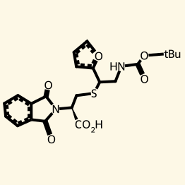 CC(C)(C)OC(=O)NCC(SC[C@@H](C(=O)O)N1C(=O)c2ccccc2C1=O)c1ccco1